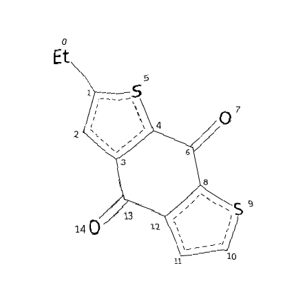 CCc1cc2c(s1)C(=O)c1sccc1C2=O